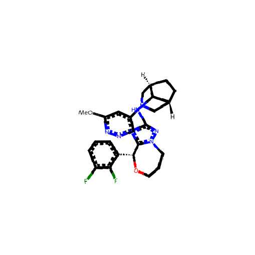 COc1cc(N2C[C@H]3CC[C@H](C2)C3Nc2nc3n(n2)CCCO[C@@H]3c2cccc(F)c2F)cnn1